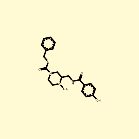 CN1CCN(C(=O)OCc2ccccc2)CC1CNC(=O)c1ccc(O)cc1